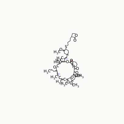 C=CC[C@@H]1/C=C(\C)C[C@H](C)C[C@H](OC)C2O[C@@](O)(C(=O)C(=O)N3CCCC[C@H]3C(=O)O[C@H](/C(C)=C/[C@@H]3CCC(SCCCCC4CCOC4=O)[C@H](OC)C3)[C@H](C)[C@@H](O)CC1=O)[C@H](C)C[C@@H]2OC